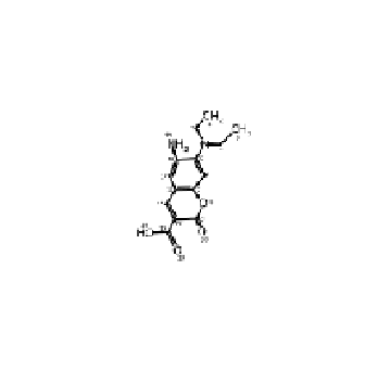 CCN(CC)c1cc2oc(=O)c(C(=O)O)cc2cc1N